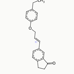 CCc1ccc(OC/C=C/c2ccc3c(c2)C(=O)CC3)cc1